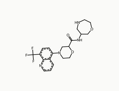 O=C(NC1CNCCOC1)C1CN(c2ccc(C(F)(F)F)c3ncccc23)CCO1